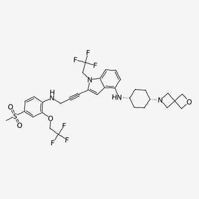 CS(=O)(=O)c1ccc(NCC#Cc2cc3c(N[C@H]4CC[C@@H](N5CC6(COC6)C5)CC4)cccc3n2CC(F)(F)F)c(OCC(F)(F)F)c1